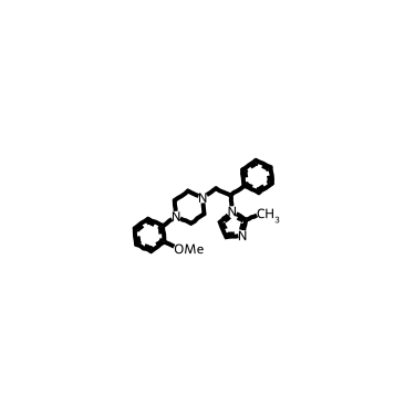 COc1ccccc1N1CCN(CC(c2ccccc2)n2ccnc2C)CC1